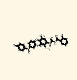 Cc1cc(NC(=O)NC(=O)c2ccccc2Cl)c(C)c(Cl)c1Oc1ccc([S+]([O-])c2ccc(Cl)cc2)cc1